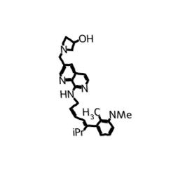 CNc1cccc(/C(=C/C=C\CNc2nccc3cc(CN4CCC(O)C4)cnc23)C(C)C)c1C